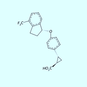 O=C(O)[C@@H]1C[C@H]1c1ccc(O[C@@H]2CCc3c2cccc3C(F)(F)F)cc1